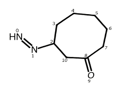 N=NC1CCCCCC(=O)C1